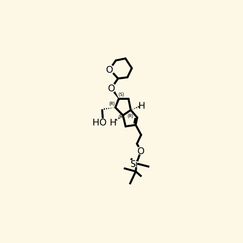 CC(C)(C)[Si](C)(C)OCCC1=C[C@@H]2C[C@H](OC3CCCCO3)[C@@H](CO)[C@@H]2C1